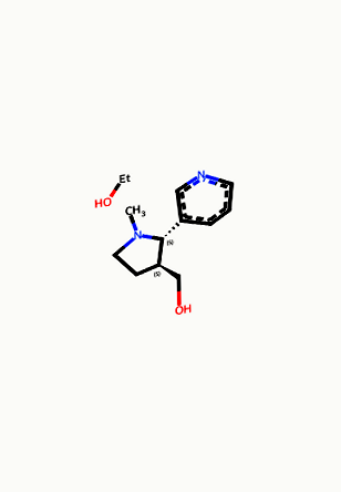 CCO.CN1CC[C@H](CO)[C@H]1c1cccnc1